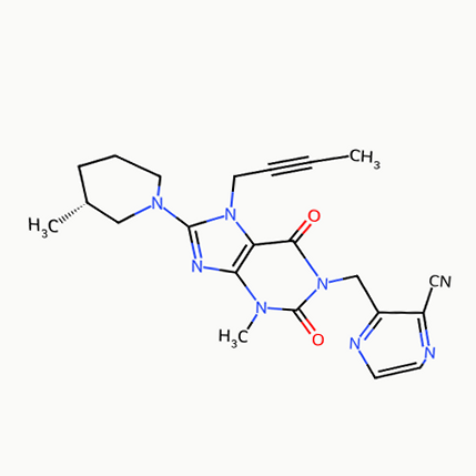 CC#CCn1c(N2CCC[C@@H](C)C2)nc2c1c(=O)n(Cc1nccnc1C#N)c(=O)n2C